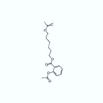 CC(=O)OCCCCCCOC(=O)c1ccccc1OC(C)=O